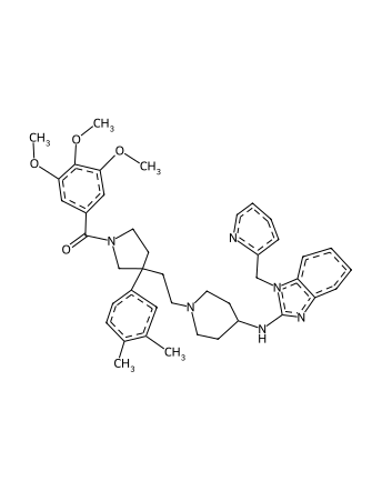 COc1cc(C(=O)N2CCC(CCN3CCC(Nc4nc5ccccc5n4Cc4ccccn4)CC3)(c3ccc(C)c(C)c3)C2)cc(OC)c1OC